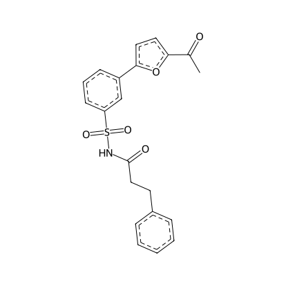 CC(=O)c1ccc(-c2cccc(S(=O)(=O)NC(=O)CCc3ccccc3)c2)o1